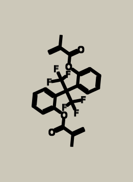 C=C(C)C(=O)Oc1ccccc1C(c1ccccc1OC(=O)C(=C)C)(C(F)(F)F)C(F)(F)F